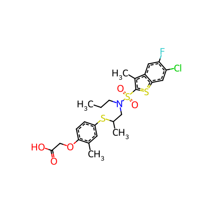 CCCN(CC(C)Sc1ccc(OCC(=O)O)c(C)c1)S(=O)(=O)c1sc2cc(Cl)c(F)cc2c1C